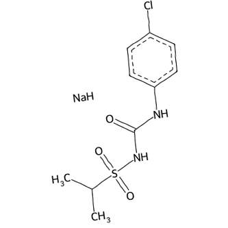 CC(C)S(=O)(=O)NC(=O)Nc1ccc(Cl)cc1.[NaH]